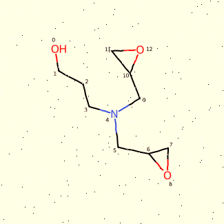 OCCCN(CC1CO1)CC1CO1